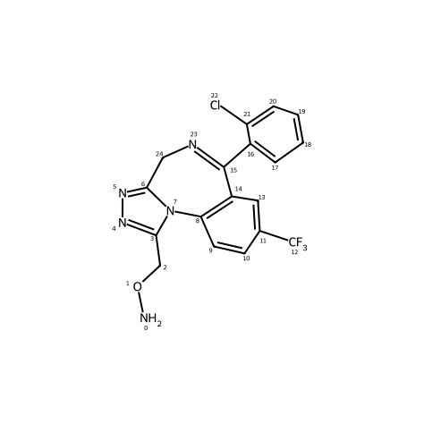 NOCc1nnc2n1-c1ccc(C(F)(F)F)cc1C(c1ccccc1Cl)=NC2